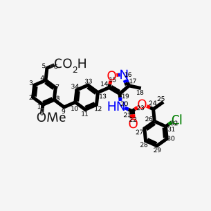 COc1ccc(CC(=O)O)cc1Cc1ccc(-c2onc(C)c2NC(=O)OC(C)c2ccccc2Cl)cc1